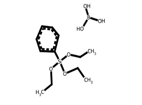 CCO[Si](OCC)(OCC)c1ccccc1.OB(O)O